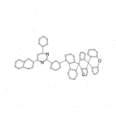 c1ccc(-c2cc(-c3ccc4ccccc4c3)nc(-c3cccc(-c4cccc5c4-c4ccccc4C54c5ccccc5C5(c6ccccc6Oc6ccccc65)c5ccccc54)c3)n2)cc1